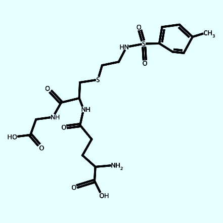 Cc1ccc(S(=O)(=O)NCCSCC(NC(=O)CCC(N)C(=O)O)C(=O)NCC(=O)O)cc1